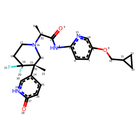 C[C@@H](C(=O)Nc1ccc(OCC2CC2)cn1)N1CCC(F)(F)[C@@](C)(c2ccc(=O)[nH]c2)C1